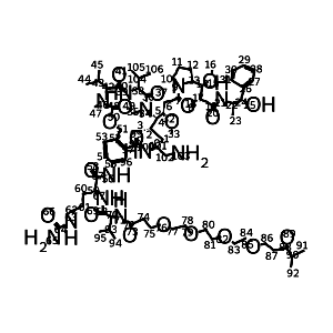 CC[C@H](C)[C@@H]([C@@H](CC(=O)N1CCC[C@H]1[C@H](OC)[C@@H](C)C(=O)N[C@H](C)[C@@H](O)c1ccccc1)OC)N(C)C(=O)[C@@H](NC(=O)[C@H](C(C)C)N(C)C(=O)OCc1ccc(NC(=O)[C@H](CCCNC(N)=O)NC(=O)[C@@H](NC(=O)CCOCCOCCOCCOCCC(=O)C(C)C)C(C)C)cc1C(=O)NCCN)C(C)C